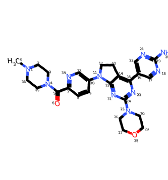 CN1CCN(C(=O)c2ccc(N3CCc4c(-c5cnc(N)nc5)nc(N5CCOCC5)nc43)cn2)CC1